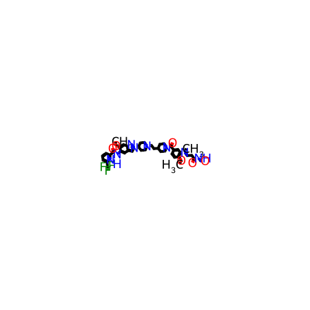 COc1cc2nn(C3CCN(CCC4CCN(C(=O)c5ccc(OC)c(N(C)CCC(=O)NC=O)c5)CC4)CC3)cc2cc1NC(=O)c1cccc(C(F)(F)F)n1